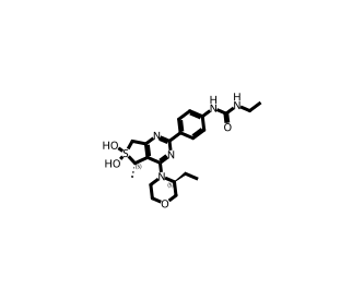 CCNC(=O)Nc1ccc(-c2nc3c(c(N4CCOC[C@@H]4CC)n2)[C@H](C)S(O)(O)C3)cc1